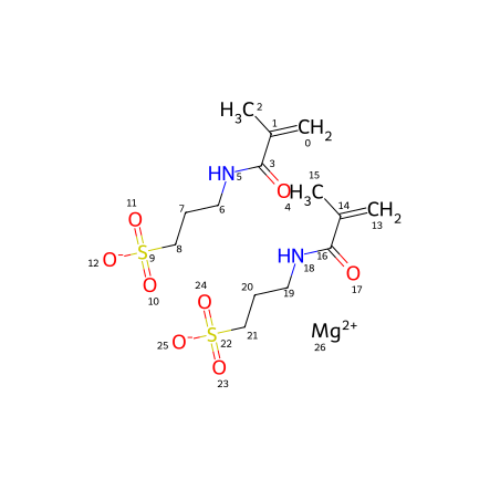 C=C(C)C(=O)NCCCS(=O)(=O)[O-].C=C(C)C(=O)NCCCS(=O)(=O)[O-].[Mg+2]